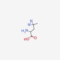 CC1(CC(N)C(=O)O)N=N1